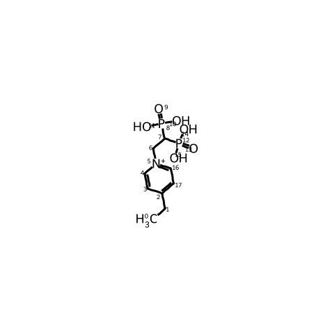 CCc1cc[n+](CC(P(=O)(O)O)P(=O)(O)O)cc1